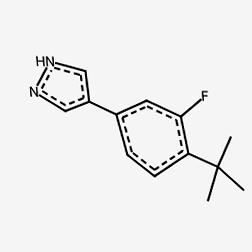 CC(C)(C)c1ccc(-c2cn[nH]c2)cc1F